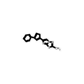 Cc1nn2cc(C3=CC(c4ccccc4)=CC3)nc2s1